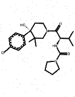 CC(C)[C@@H](NC(=O)N1CCCC1)C(=O)N1CC[C@](O)(c2ccc(Cl)cc2)C(C)(C)C1